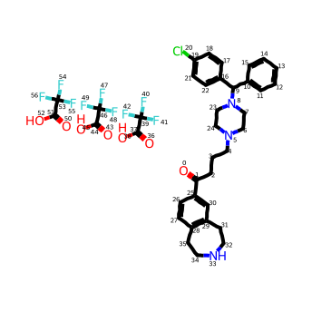 O=C(CCCN1CCN(C(c2ccccc2)c2ccc(Cl)cc2)CC1)c1ccc2c(c1)CCNCC2.O=C(O)C(F)(F)F.O=C(O)C(F)(F)F.O=C(O)C(F)(F)F